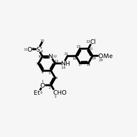 CCOC(C=O)=Cc1ccc([S+](C)[O-])nc1NCc1ccc(OC)c(Cl)c1